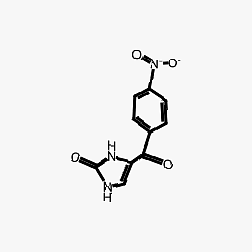 O=C(c1ccc([N+](=O)[O-])cc1)c1c[nH]c(=O)[nH]1